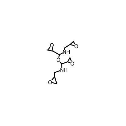 C(NC(OC(NCC1CO1)C1CO1)C1CO1)C1CO1